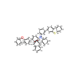 c1cc(-c2ccc3c(c2)sc2ccccc23)cc(N(c2ccc(-c3ccc4c(c3)oc3ccccc34)cc2)c2ccccc2-c2cccc3ccccc23)c1